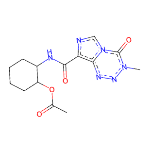 CC(=O)OC1CCCCC1NC(=O)c1ncn2c(=O)n(C)nnc12